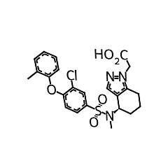 Cc1ccccc1Oc1ccc(S(=O)(=O)N(C)[C@@H]2CCCc3c2cnn3CC(=O)O)cc1Cl